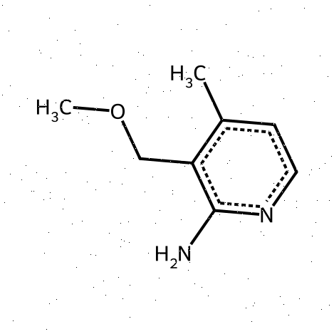 COCc1c(C)ccnc1N